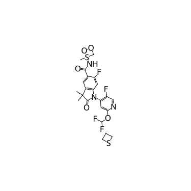 C1CSC1.CC1(C)C(=O)N(c2cc(OC(F)F)ncc2F)c2cc(F)c(C(=O)NS3(C)COO3)cc21